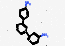 Nc1ccc(-c2cccc(-c3cccc(N)c3)c2)cc1